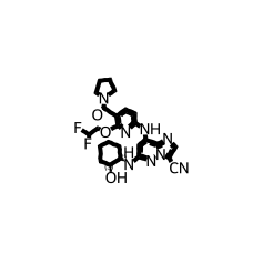 N#Cc1cnc2c(Nc3ccc(C(=O)N4CCCC4)c(OCC(F)F)n3)cc(N[C@H]3CCCC[C@@H]3O)nn12